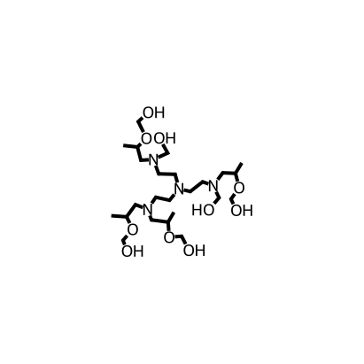 CC(CN(CO)CCN(CCN(CO)CC(C)OCO)CCN(CC(C)OCO)CC(C)OCO)OCO